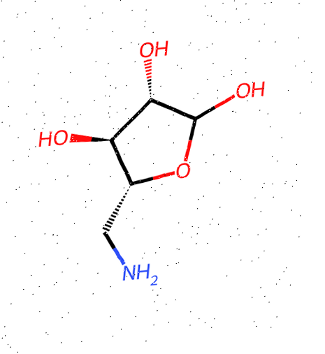 NC[C@H]1OC(O)[C@@H](O)[C@@H]1O